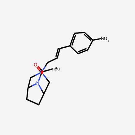 CCCCC(=O)N1C2CCC1CN(CC=Cc1ccc([N+](=O)[O-])cc1)C2